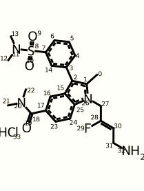 Cc1c(-c2cccc(S(=O)(=O)N(C)C)c2)c2cc(C(=O)N(C)C)ccc2n1CC(F)=CCN.Cl